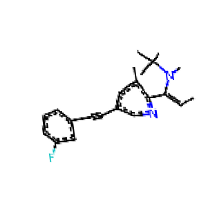 CC=C(c1ncc(C#Cc2cccc(F)c2)cc1C)N(C)C(C)(C)C